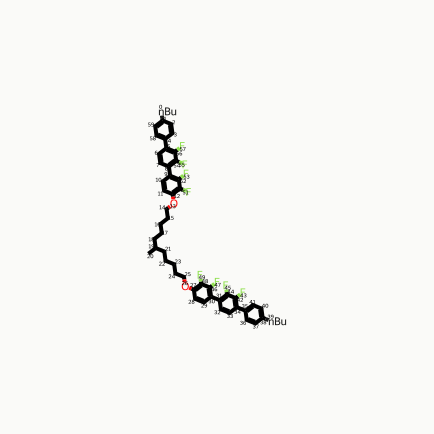 CCCCc1ccc(-c2ccc(-c3ccc(OCCCCCC(C)CCCCCOc4ccc(-c5ccc(-c6ccc(CCCC)cc6)c(F)c5F)c(F)c4F)c(F)c3F)c(F)c2F)cc1